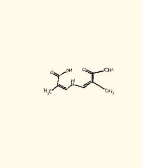 CC(=CNC=C(C)C(=O)O)C(=O)O